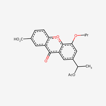 CC(=O)OC(C)c1cc(OC(C)C)c2oc3ccc(C(=O)O)cc3c(=O)c2c1